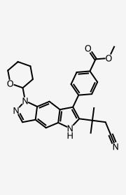 COC(=O)c1ccc(-c2c(C(C)(C)CC#N)[nH]c3cc4cnn(C5CCCCO5)c4cc23)cc1